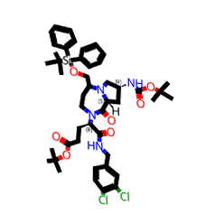 CC(C)(C)OC(=O)CC[C@H](C(=O)NCc1ccc(Cl)c(Cl)c1)N1CCC(CO[Si](c2ccccc2)(c2ccccc2)C(C)(C)C)N2C[C@H](NC(=O)OC(C)(C)C)C[C@H]2C1=O